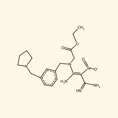 CCOC(=O)CN(Cc1cccc(CN2CCCC2)c1)/C(N)=C(/C(=N)N)[N+](=O)[O-]